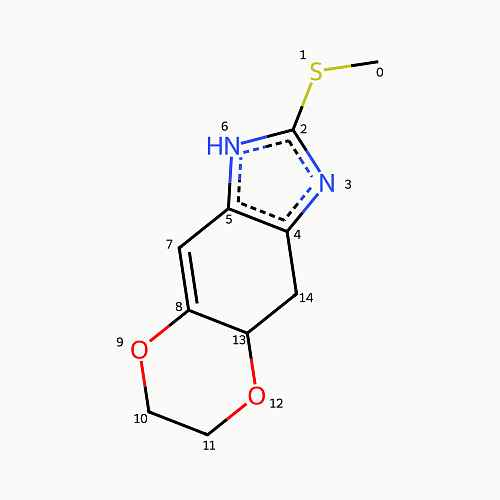 CSc1nc2c([nH]1)C=C1OCCOC1C2